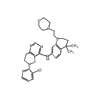 CC1(C)CCN(CCN2CCOCC2)c2cc(Nc3ncnc4c3CN(c3ncccc3Cl)CC4)ccc21